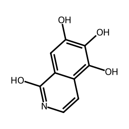 Oc1cc2c(O)nccc2c(O)c1O